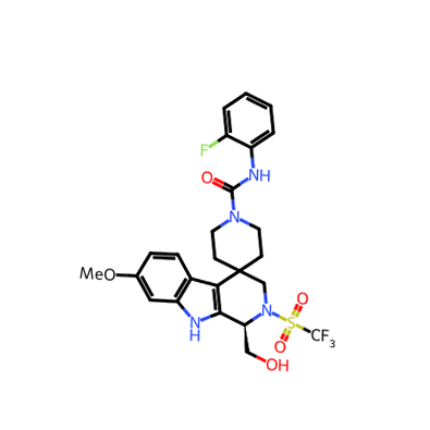 COc1ccc2c3c([nH]c2c1)[C@H](CO)N(S(=O)(=O)C(F)(F)F)CC31CCN(C(=O)Nc2ccccc2F)CC1